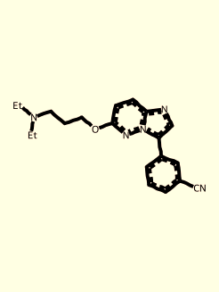 CCN(CC)CCCOc1ccc2ncc(-c3cccc(C#N)c3)n2n1